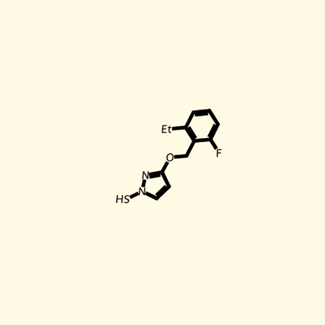 CCc1cccc(F)c1COc1ccn(S)n1